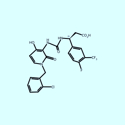 O=C(O)C[C@H](NC(=O)Nc1c(O)ccn(Cc2ccccc2Cl)c1=O)c1ccc(F)c(C(F)(F)F)c1